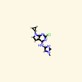 Cn1cnc(Nc2nc(Cl)nc3c2ccn3C2CC2)c1